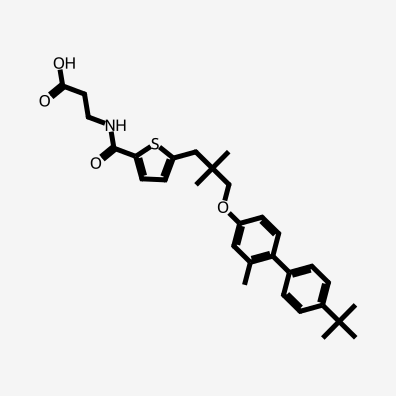 Cc1cc(OCC(C)(C)Cc2ccc(C(=O)NCCC(=O)O)s2)ccc1-c1ccc(C(C)(C)C)cc1